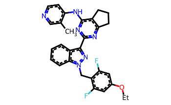 CCOc1cc(F)c(Cn2nc(-c3nc4c(c(Nc5ccncc5C)n3)CCC4)c3ccccc32)c(F)c1